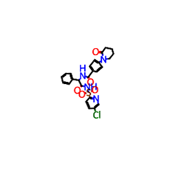 O=C(NC(C(=O)NS(=O)(=O)c1ccc(Cl)cn1)c1ccccc1)c1ccc(N2CCCCC2=O)cc1